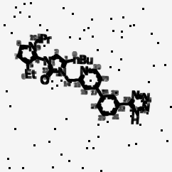 CCCCc1cn(-c2c(CC)ccn2C(C)C)c(=O)n1Cc1cc(-c2cccc(-c3nnn[nH]3)c2)ccn1